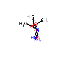 CCCCCCOc1cc(-c2nnc(-c3ccc(C(=O)NN)cc3)o2)cc(OCCCCCC)c1OCCCCCC